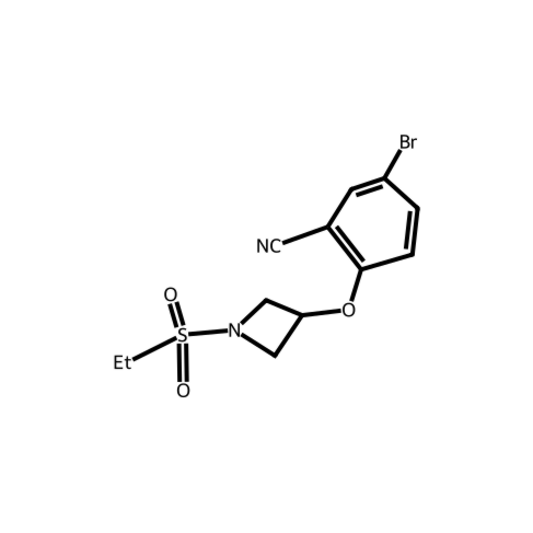 CCS(=O)(=O)N1CC(Oc2ccc(Br)cc2C#N)C1